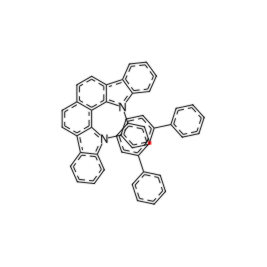 c1ccc(-c2ccc(-n3c4ccccc4c4ccc5ccc6c7ccccc7n(-c7ccc(-c8ccccc8)cc7)c6c5c43)cc2)cc1